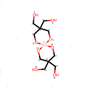 OCC1(CO)CO[B-]2(OC1)OCC(CO)(CO)CO2